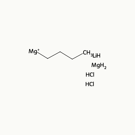 CCC[CH2][Mg+].Cl.Cl.[LiH].[MgH2]